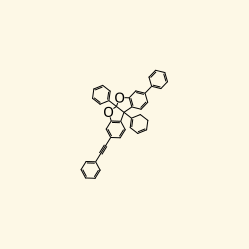 C(#Cc1ccc2c(c1)OC1(c3ccccc3)Oc3cc(-c4ccccc4)ccc3C21C1=CC=CCC1)c1ccccc1